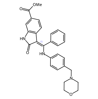 COC(=O)c1ccc2c(c1)NC(=O)/C2=C(\Nc1ccc(CN2CCOCC2)cc1)c1ccccc1